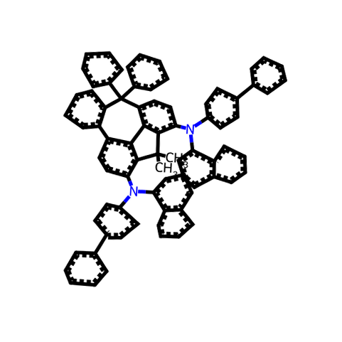 CC1(C)c2c(N(c3ccc(-c4ccccc4)cc3)c3cccc4ccccc34)ccc3c2-c2c(ccc(N(c4ccc(-c5ccccc5)cc4)c4cccc5ccccc45)c21)C(c1ccccc1)(c1ccccc1)c1ccccc1-3